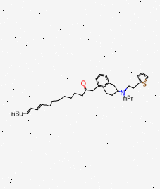 CCCC/C=C/C=C/CCCCCCCC(=O)Cc1cccc2c1CCC(N(CCC)CCc1cccs1)C2